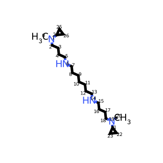 CN(CCCCNCCCCCCCNCCCCN(C)C1CC1)C1CC1